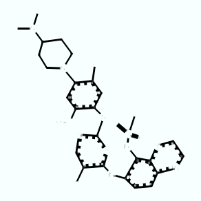 COc1cc(N2CCC(N(C)C)CC2)c(C)cc1Nc1ncc(Cl)c(Nc2ccc3nccnc3c2NS(C)(=O)=O)n1